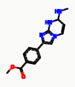 CNC1C=Cn2cc(-c3ccc(C(=O)OC)cc3)nc2N1